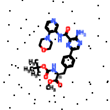 COC(=O)[C@H](Cc1ccc(-c2cnc(N)c(C(=O)Nc3cnccc3N3CCOCC3)n2)cc1)NC(=O)OC(C)(C)C